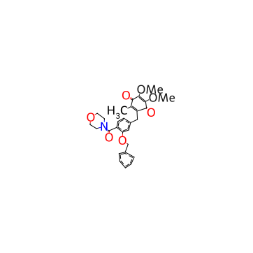 COC1=C(OC)C(=O)C(Cc2ccc(C(=O)N3CCOCC3)c(OCc3ccccc3)c2)=C(C)C1=O